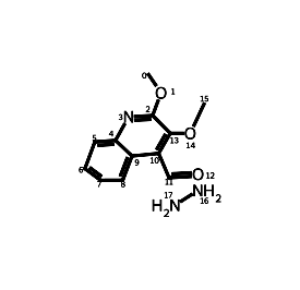 COc1nc2ccccc2c(C=O)c1OC.NN